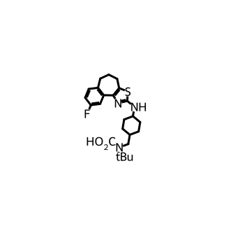 CC(C)(C)N(CC1CCC(Nc2nc3c(s2)CCCc2ccc(F)cc2-3)CC1)C(=O)O